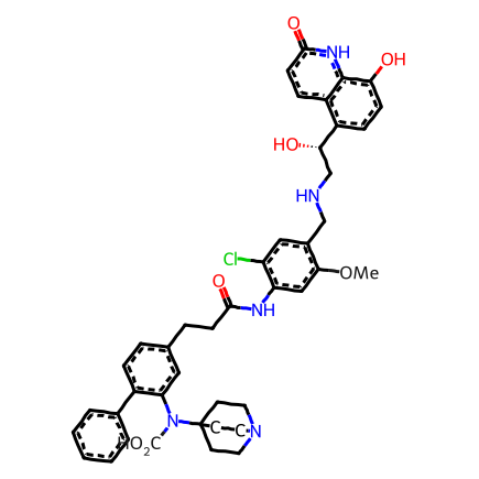 COc1cc(NC(=O)CCc2ccc(-c3ccccc3)c(N(C(=O)O)C34CCN(CC3)CC4)c2)c(Cl)cc1CNC[C@H](O)c1ccc(O)c2[nH]c(=O)ccc12